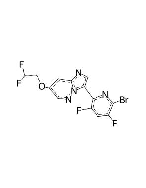 Fc1cc(F)c(-c2cnc3cc(OCC(F)F)cnn23)nc1Br